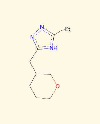 CCc1nnc(CC2CCCOC2)[nH]1